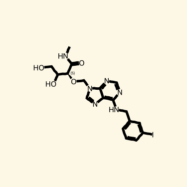 CNC(=O)[C@@H](OCn1cnc2c(NCc3cccc(I)c3)ncnc21)C(O)CO